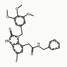 COc1cc(Cn2c(=O)[nH]c3cc(F)cc(CC(=O)NCc4ccccc4)c32)cc(OC)c1OC